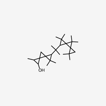 CC1C(O)C12CC21C(C(C)(C)C2C(C)(C)C23C(C)(C)C32CC2(C)C)C1(C)C